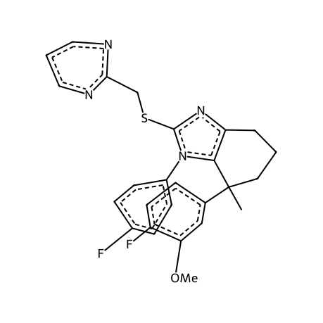 COc1cc(C2(C)CCCc3nc(SCc4ncccn4)n(-c4ccc(F)cc4)c32)ccc1F